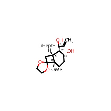 C=C[C@@](O)(CCCCCCC)[C@H]1[C@H](O)CC[C@@]2(OC)[C@@H]1CC21OCCO1